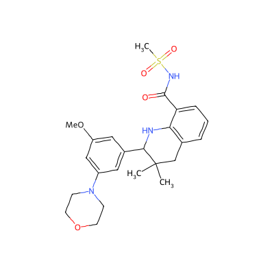 COc1cc(C2Nc3c(cccc3C(=O)NS(C)(=O)=O)CC2(C)C)cc(N2CCOCC2)c1